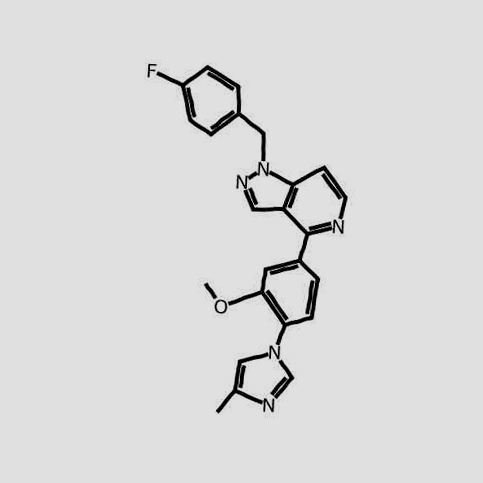 COc1cc(-c2nccc3c2cnn3Cc2ccc(F)cc2)ccc1-n1cnc(C)c1